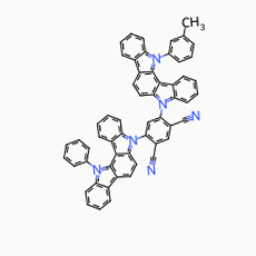 Cc1cccc(-n2c3ccccc3c3ccc4c(c5ccccc5n4-c4cc(-n5c6ccccc6c6c5ccc5c7ccccc7n(-c7ccccc7)c56)c(C#N)cc4C#N)c32)c1